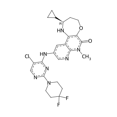 Cn1c(=O)c2c(c3cc(Nc4nc(N5CCC(F)(F)CC5)ncc4Cl)cnc31)N[C@@H](C1CC1)CCO2